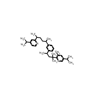 Cc1cc(C(C)C)cnc1C(C)(C)CC(C)c1cccc(C(C)CCC(C)c2cc(C(C)C)ccn2)c1